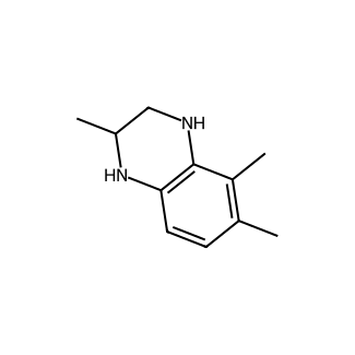 Cc1ccc2c(c1C)NCC(C)N2